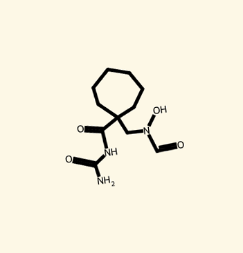 NC(=O)NC(=O)C1(CN(O)C=O)CCCCCC1